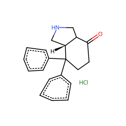 Cl.O=C1CCC(c2ccccc2)(c2ccccc2)[C@@H]2CNCC12